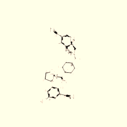 N#Cc1cc(F)cc([C@@H]2CCON2C(=O)[C@H]2CC[C@H](Cn3cc4ncc(C#N)cc4n3)CC2)c1